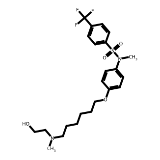 CN(CCO)CCCCCCOc1ccc(N(C)S(=O)(=O)c2ccc(C(F)(F)F)cc2)cc1